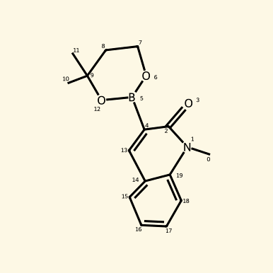 Cn1c(=O)c(B2OCCC(C)(C)O2)cc2ccccc21